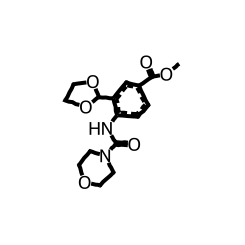 COC(=O)c1ccc(NC(=O)N2CCOCC2)c(C2OCCO2)c1